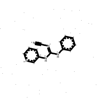 N#CN=C(Nc1ccccc1)Nc1cccnc1